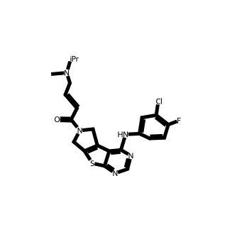 CC(C)N(C)CC=CC(=O)N1Cc2sc3ncnc(Nc4ccc(F)c(Cl)c4)c3c2C1